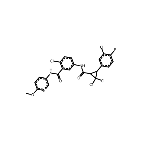 COc1ccc(NC(=O)c2cc(NC(=O)C3C(c4ccc(F)c(Cl)c4)C3(Cl)Cl)ccc2Cl)cn1